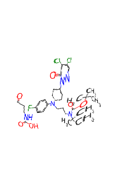 CC(C)(C)OC(=O)N(CCCN(c1ccc(F)cc1)C1CCC(n2ncc(Cl)c(Cl)c2=O)CC1)C(C)(C)C.O=CCCNC(=O)O